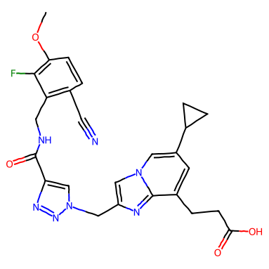 COc1ccc(C#N)c(CNC(=O)c2cn(Cc3cn4cc(C5CC5)cc(CCC(=O)O)c4n3)nn2)c1F